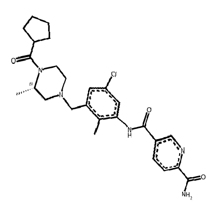 Cc1c(CN2CCN(C(=O)C3CCCC3)[C@@H](C)C2)cc(Cl)cc1NC(=O)c1ccc(C(N)=O)nc1